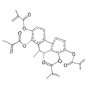 C=C(C)C(=O)Oc1ccc2c(c1OC(=O)C(=C)C)C(C)C(C)c1c-2ccc(OC(=O)C(=C)C)c1OC(=O)C(=C)C